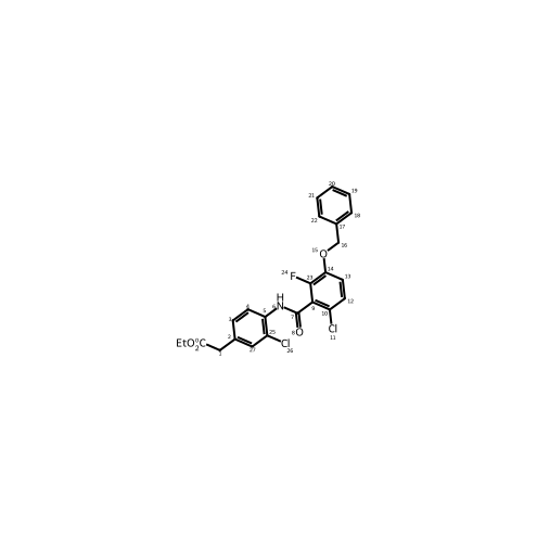 CCOC(=O)Cc1ccc(NC(=O)c2c(Cl)ccc(OCc3ccccc3)c2F)c(Cl)c1